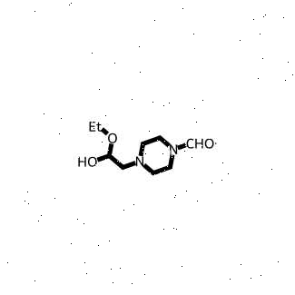 CCOC(O)CN1CCN([C]=O)CC1